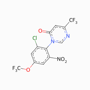 O=c1cc(C(F)(F)F)ncn1-c1c(Cl)cc(OC(F)(F)F)cc1[N+](=O)[O-]